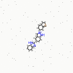 c1ccc2[nH]c(-c3ccc4[nH][n+](-c5ccc6ccsc6c5)cc4c3)nc2c1